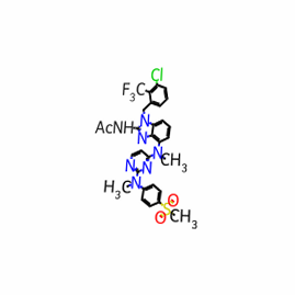 CC(=O)Nc1nc2c(N(C)c3ccnc(N(C)c4ccc(S(C)(=O)=O)cc4)n3)cccc2n1Cc1cccc(Cl)c1C(F)(F)F